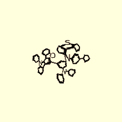 c1ccc(-c2ccc(N(c3cc(-c4cc5c6ccccc6n(-c6ccccc6)c5c5c4oc4ccccc45)cc(N(c4ccccc4)c4ccccc4)c3)c3cccc4sc5ccccc5c34)cc2)cc1